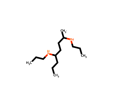 [CH2]C(CCC(CCC)PCCC)PCCC